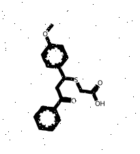 COc1ccc(C(CC(=O)c2ccccc2)SCC(=O)O)cc1